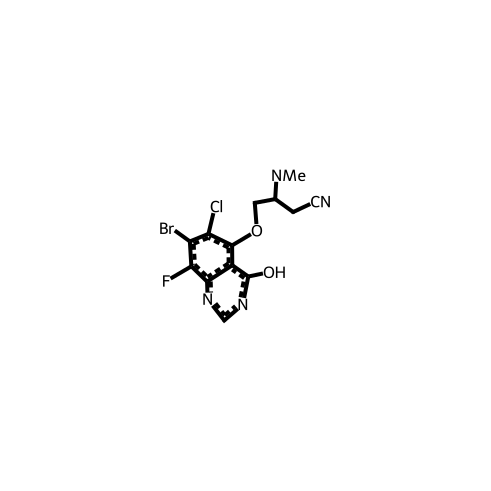 CNC(CC#N)COc1c(Cl)c(Br)c(F)c2ncnc(O)c12